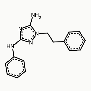 Nc1nc(Nc2ccccc2)nn1CCc1ccccc1